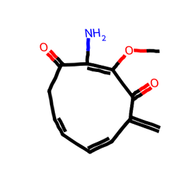 C=C1/C=C\C=C/CC(=O)/C(N)=C(/OC)C1=O